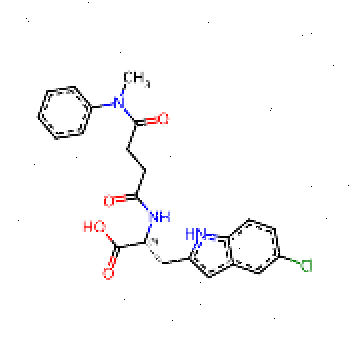 CN(C(=O)CCC(=O)N[C@H](Cc1cc2cc(Cl)ccc2[nH]1)C(=O)O)c1ccccc1